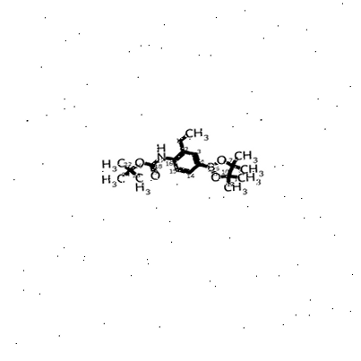 CCc1cc(B2OC(C)(C)C(C)(C)O2)ccc1NC(=O)OC(C)(C)C